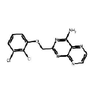 Nc1nc(COc2cccc(Cl)c2Cl)nc2nccnc12